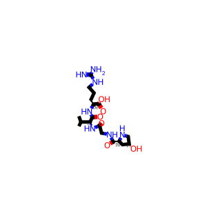 CC(C)[C@H](NC(=O)CNC(=O)[C@@H]1C[C@@H](O)CN1)C(=O)N[C@@H](CCCNC(=N)N)C(=O)O